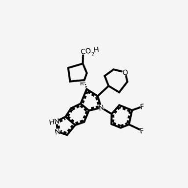 O=C(O)C1CC[C@@H](c2c(C3CCOCC3)n(-c3ccc(F)c(F)c3)c3cc4cn[nH]c4cc23)C1